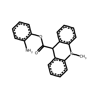 CN1c2ccccc2C(C(=O)Oc2ccccc2N)c2ccccc21